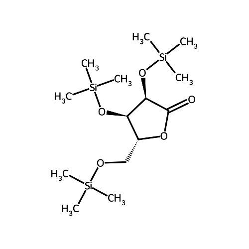 C[Si](C)(C)OC[C@H]1OC(=O)[C@H](O[Si](C)(C)C)[C@@H]1O[Si](C)(C)C